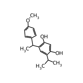 COc1ccc(C(C)c2cc(C(C)C)c(O)cc2O)cc1